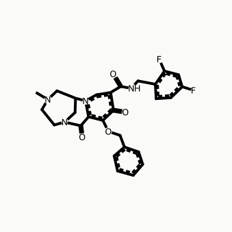 CN1CCN2CC(C1)n1cc(C(=O)NCc3ccc(F)cc3F)c(=O)c(OCc3ccccc3)c1C2=O